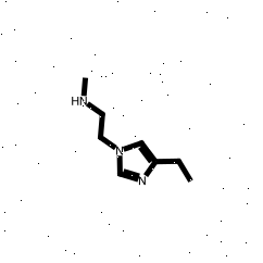 CCc1cn(CCNC)cn1